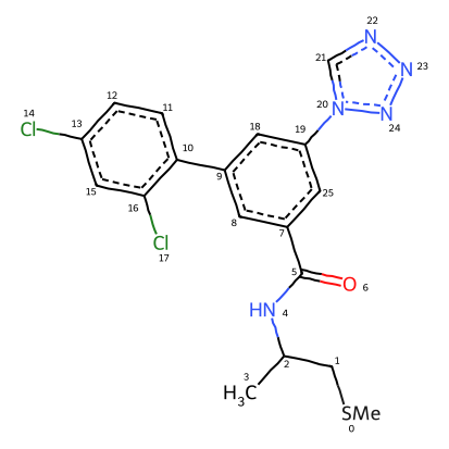 CSCC(C)NC(=O)c1cc(-c2ccc(Cl)cc2Cl)cc(-n2cnnn2)c1